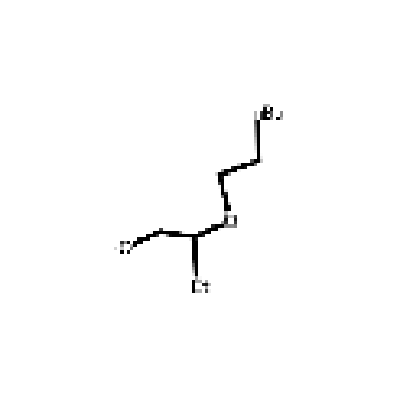 CCCCCCOC(CC)C[O]